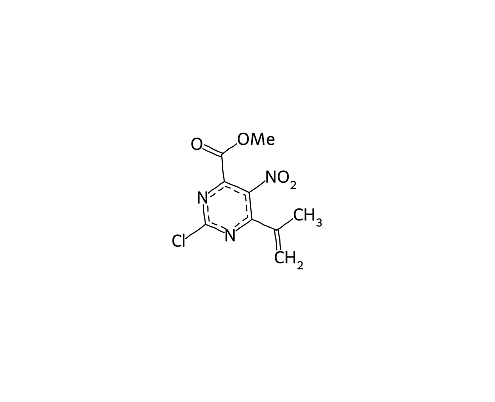 C=C(C)c1nc(Cl)nc(C(=O)OC)c1[N+](=O)[O-]